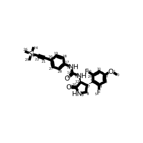 COc1cc(F)c([C@@H]2CNC(=O)[C@H]2NC(=O)Nc2ccc(C#C[Si](C)(C)C)cc2)c(F)c1